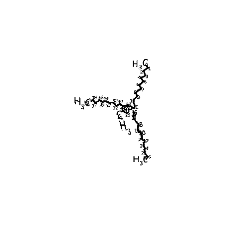 CCCCCCCCCCCC[PH](CCC)(CCCCCCCCCCCC)CCCCCCCCCCCC